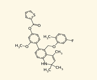 COc1cc(OC(=O)c2cccs2)ccc1-c1ccc2c(c1COc1cc(F)ccc1C)C(C)=CC(C)(C)N2